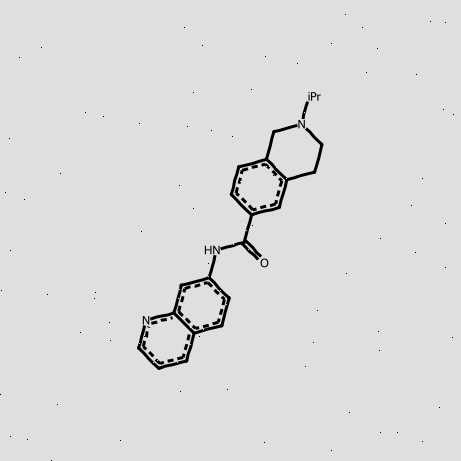 CC(C)N1CCc2cc(C(=O)Nc3ccc4cccnc4c3)ccc2C1